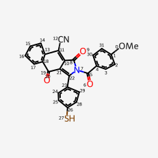 COc1ccc(C(=O)N2C(=O)C3=C(C#N)c4ccccc4C(=O)C3=C2c2ccc(S)cc2)cc1